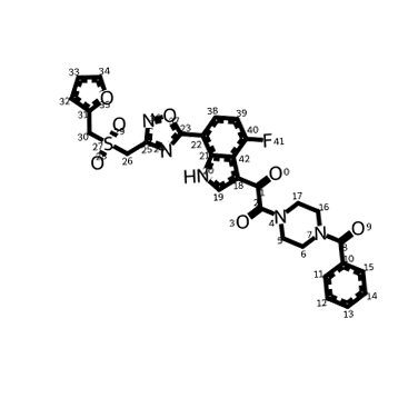 O=C(C(=O)N1CCN(C(=O)c2ccccc2)CC1)c1c[nH]c2c(-c3nc(CS(=O)(=O)Cc4ccco4)no3)ccc(F)c12